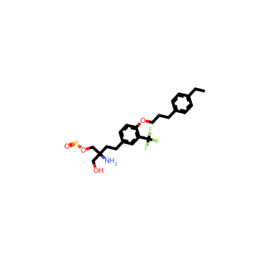 CCc1ccc(CCCOc2ccc(CCC(N)(CO)COP=O)cc2C(F)(F)F)cc1